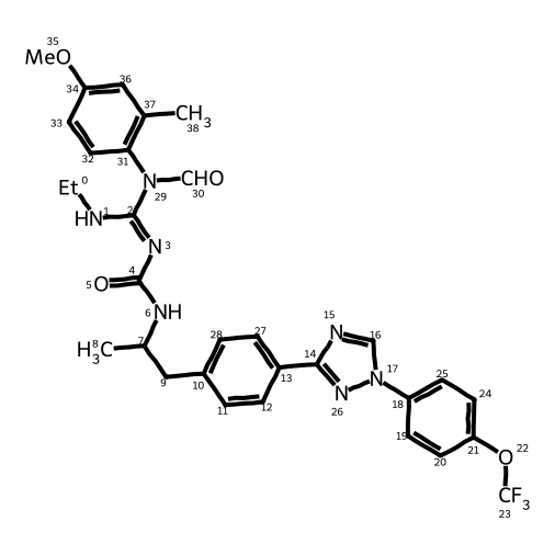 CCN/C(=N\C(=O)NC(C)Cc1ccc(-c2ncn(-c3ccc(OC(F)(F)F)cc3)n2)cc1)N(C=O)c1ccc(OC)cc1C